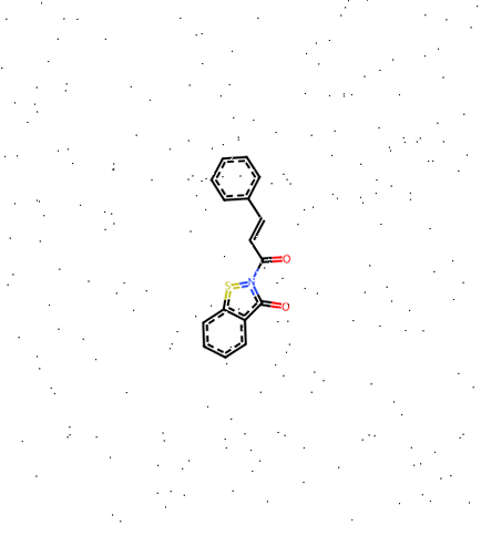 O=C(C=Cc1ccccc1)n1sc2ccccc2c1=O